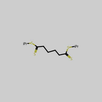 CC(C)SC(=S)CCCCC(=S)SC(C)C